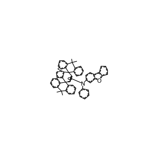 CC1(C)c2ccccc2C2(c3ccccc31)c1cc(N(c3ccccc3)c3ccc4c(c3)oc3ccccc34)sc1C1(c3ccccc3C(C)(C)c3ccccc31)c1ccsc12